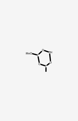 COP1OPOP(C)O1